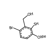 COc1ccc(Br)c(CO)c1S